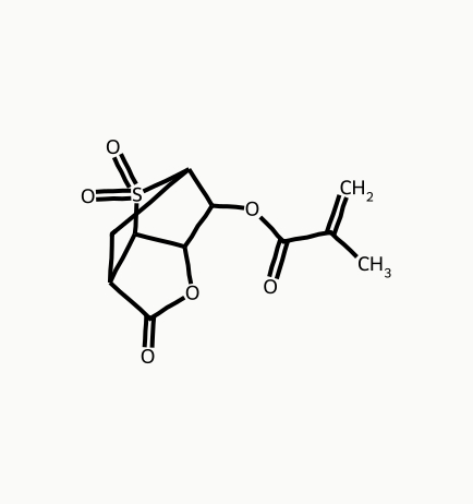 C=C(C)C(=O)OC1C2OC(=O)C3CC1S(=O)(=O)C32